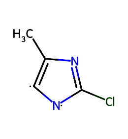 CC1=[C][N]C(Cl)=N1